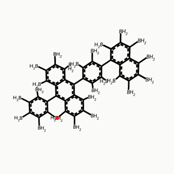 Bc1c(B)c(B)c(-c2c3c(B)c(B)c(B)c(B)c3c(-c3c(B)c(B)c(-c4c(B)c(B)c(B)c5c(B)c(B)c(B)c(B)c45)c(B)c3B)c3c(B)c(B)c(B)c(B)c23)c(B)c1B